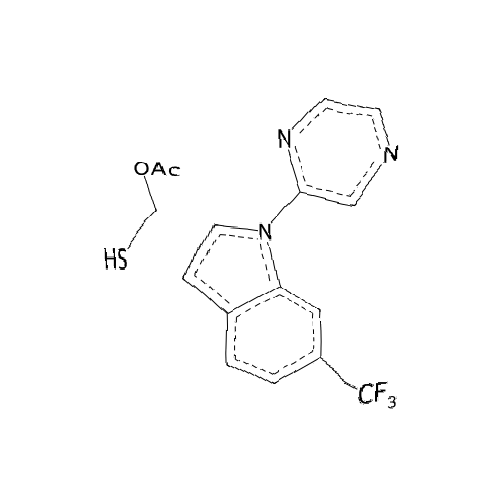 CC(=O)OCS.FC(F)(F)c1ccc2ccn(-c3cnccn3)c2c1